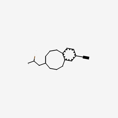 C#Cc1ccc2c(c1)CCCC(CC(C)Br)CCC2